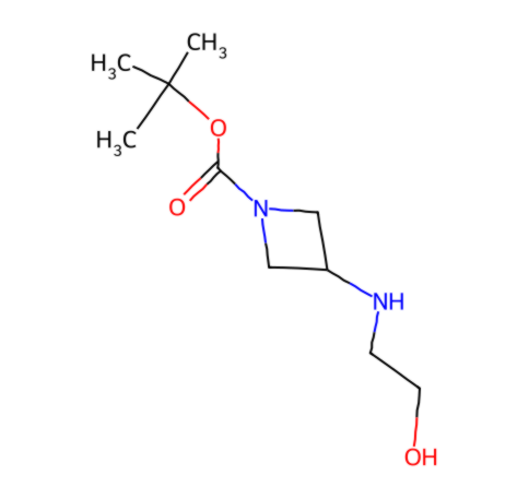 CC(C)(C)OC(=O)N1CC(NCCO)C1